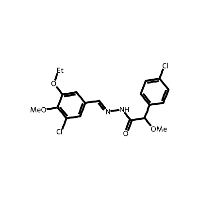 CCOc1cc(/C=N/NC(=O)C(OC)c2ccc(Cl)cc2)cc(Cl)c1OC